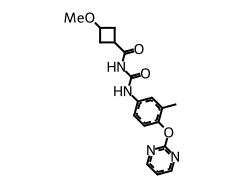 COC1CC(C(=O)NC(=O)Nc2ccc(Oc3ncccn3)c(C)c2)C1